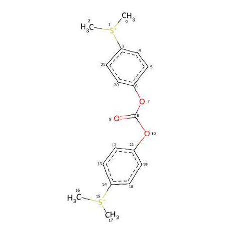 C[S+](C)c1ccc(OC(=O)Oc2ccc([S+](C)C)cc2)cc1